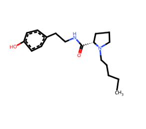 CCCCCN1CCC[C@H]1C(=O)NCCc1ccc(O)cc1